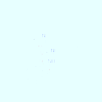 Cc1cccc(N(C)C(=O)C(Cc2ccccc2)NC(=O)NS(=O)(=O)c2ccccc2C)c1